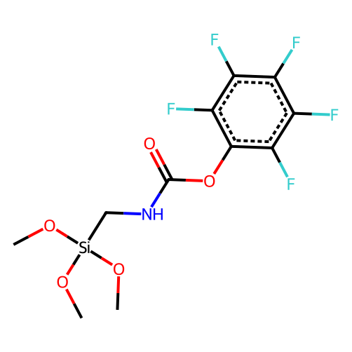 CO[Si](CNC(=O)Oc1c(F)c(F)c(F)c(F)c1F)(OC)OC